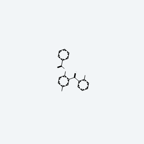 Cc1ccc(OC(=O)c2ccccc2)c(C(=N)c2ccccc2Cl)c1